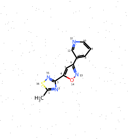 Cc1nc(-c2cc(-c3cccnc3)no2)ns1